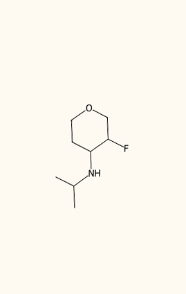 CC(C)NC1CCOCC1F